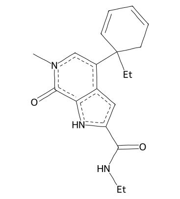 CCNC(=O)c1cc2c(C3(CC)C=CC=CC3)cn(C)c(=O)c2[nH]1